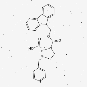 O=C(O)[C@H]1[C@@H](Cc2ccncc2)CCN1C(=O)OCC1c2ccccc2-c2ccccc21